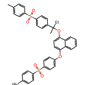 CCC(C)(Oc1ccc(Oc2ccc(S(=O)(=O)c3ccc(C(C)(C)C)cc3)cc2)c2ccccc12)c1ccc(S(=O)(=O)c2ccc(C)cc2)cc1